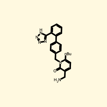 CCCCc1ccc(CN)c(=O)n1Cc1ccc(-c2ccccc2-c2nnn[nH]2)cc1